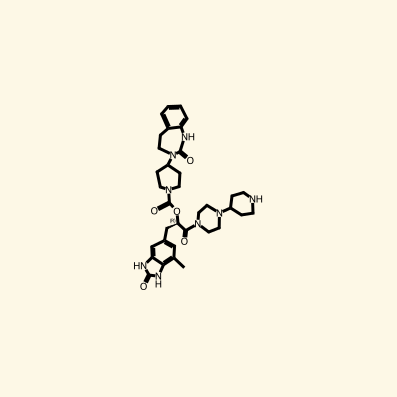 Cc1cc(C[C@@H](OC(=O)N2CCC(N3CCc4ccccc4NC3=O)CC2)C(=O)N2CCN(C3CCNCC3)CC2)cc2[nH]c(=O)[nH]c12